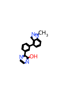 Cn1ncc2c(-c3cccc(-c4nccnc4O)c3)cccc21